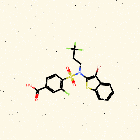 O=C(O)c1ccc(S(=O)(=O)N(CCC(F)(F)F)c2sc3ccccc3c2Br)c(F)c1